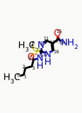 CCCCCNC1([S+](C)[O-])N=CC(C(N)=O)=CN1